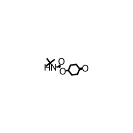 CC(C)(C)NC(=O)OC1CCC(=O)CC1